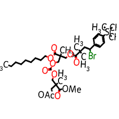 COC(=O)C(C)(COC(C)=O)COC(=O)OCC(C)(COC(=O)C(C)(C)CC(Br)c1ccc([Si](C)(C)C)cc1)C(=O)OCCCCCCCCC(F)(F)F